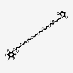 O=C(CCOCCOCCOCCOCCOCCOCCNCCCN1C(=O)C=CC1=O)Oc1c(F)c(F)c(F)c(F)c1F